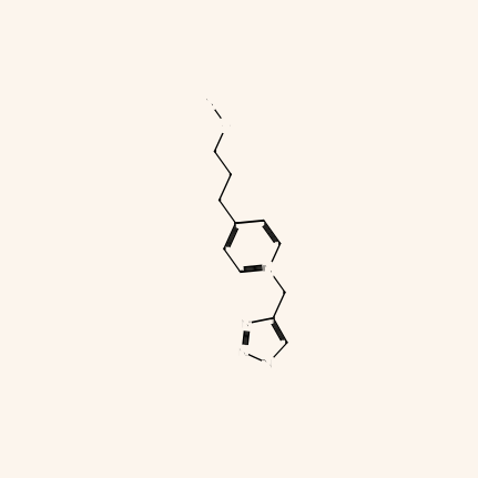 NOCCCc1cc[n+](Cc2c[nH]nn2)cc1